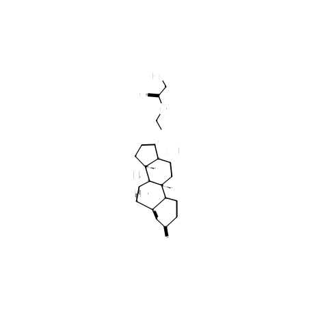 CC(C)CC(=O)OCO[C@H]1CC[C@H]2[C@@H]3CCC4=CC(=O)CC[C@]4(C)[C@H]3CC[C@]12C